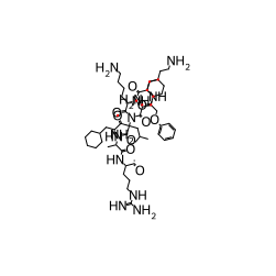 CC(C)CC(C(=O)NC(C)C(=O)NC([C]=O)CCCNC(=N)N)(C(=O)[C@@H](N)CC1CCCCC1)N(C(=O)C(CCCCN)NC(=O)C(CCCCN)NC(=O)COc1ccccc1)C(=O)[C@@H](N)CC1CCCCC1